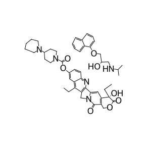 CC(C)NCC(O)COc1cccc2ccccc12.CCc1c2c(nc3ccc(OC(=O)N4CCC(N5CCCCC5)CC4)cc13)-c1cc3c(c(=O)n1C2)COC(=O)[C@]3(O)CC